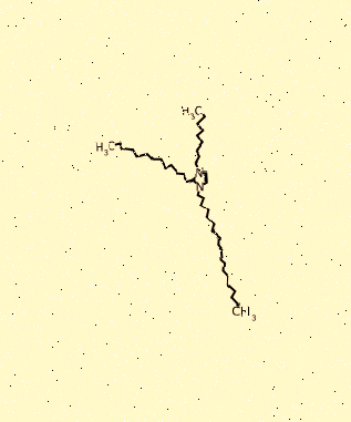 CCCCCCCCCCCCCCCCCCCN1C=CN(CCCCCCCCC)C1CCCCCCCCCCCCC